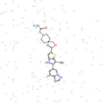 Cc1cc(-c2[nH]c3cc(C4=NC5(CCN(CC(N)=O)CC5)CO4)sc3c2C(C)C)cn2ncnc12